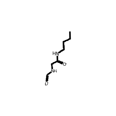 CCCCNC(=O)CNC=O